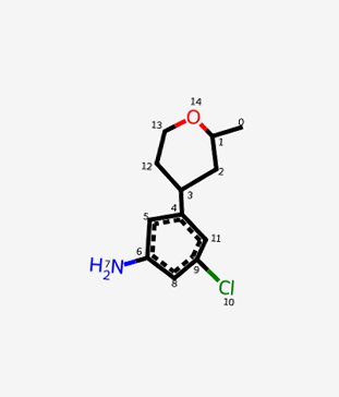 CC1CC(c2cc(N)cc(Cl)c2)CCO1